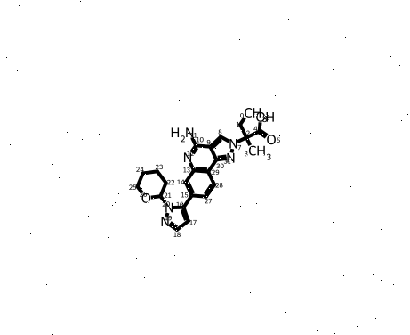 CCC(C)(C(=O)O)n1cc2c(N)nc3cc(-c4ccnn4C4CCCCO4)ccc3c2n1